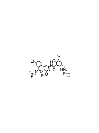 CCOc1cc(-c2ccc(Cl)cc2C(=O)N2CC(F)(F)C2)cc(NC(=O)c2cc(CNCC3(F)CCC3)cn(C3CC3)c2=O)n1